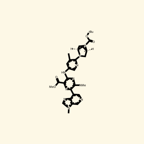 CNc1nc(Nc2cnc(N3C[C@H]4C[C@@H]3CN4C(=O)OC(C)(C)C)c(C)c2)c(C(=O)OC)nc1-c1cncc2c1ncn2C